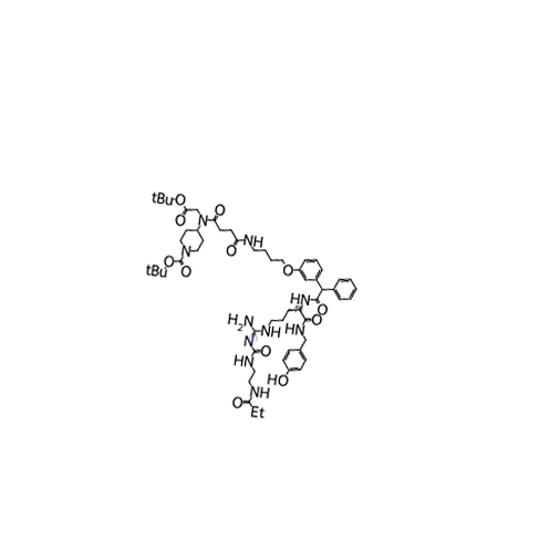 CCC(=O)NCCNC(=O)/N=C(/N)NCCC[C@@H](NC(=O)C(c1ccccc1)c1cccc(OCCCCNC(=O)CCC(=O)N(CC(=O)OC(C)(C)C)C2CCN(C(=O)OC(C)(C)C)CC2)c1)C(=O)NCc1ccc(O)cc1